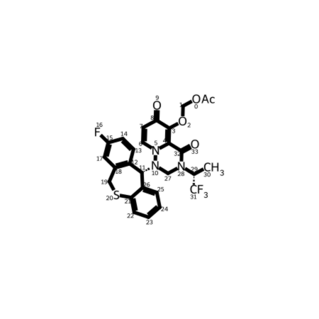 CC(=O)OCOc1c2n(ccc1=O)N([C@H]1c3ccc(F)cc3CSc3ccccc31)CN([C@H](C)C(F)(F)F)C2=O